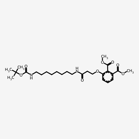 COC(=O)c1cccc(OCCC(=O)NCCCCCCCCNC(=O)OC(C)(C)C)c1C(=O)OC